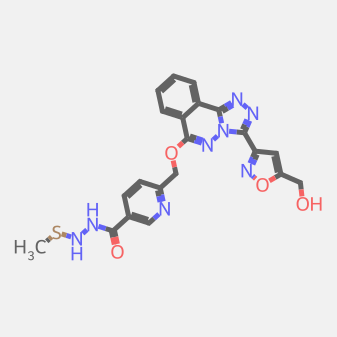 CSNNC(=O)c1ccc(COc2nn3c(-c4cc(CO)on4)nnc3c3ccccc23)nc1